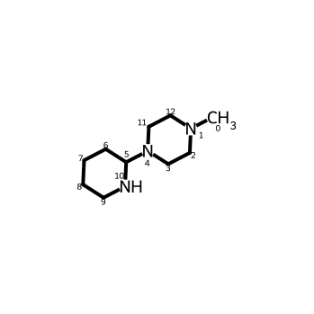 CN1CCN(C2CCCCN2)CC1